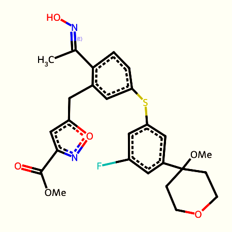 COC(=O)c1cc(Cc2cc(Sc3cc(F)cc(C4(OC)CCOCC4)c3)ccc2/C(C)=N/O)on1